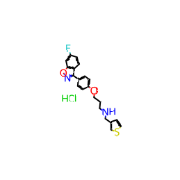 Cl.Fc1ccc2c(-c3ccc(OCCCNCc4ccsc4)cc3)noc2c1